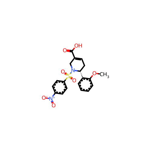 COc1ccccc1[C@H]1CC=C(C(=O)O)CN1S(=O)(=O)c1ccc([N+](=O)[O-])cc1